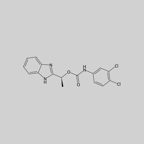 C[C@H](OC(=O)Nc1ccc(Cl)c(Cl)c1)c1nc2ccccc2[nH]1